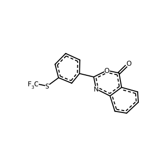 O=c1oc(-c2cccc(SC(F)(F)F)c2)nc2ccccc12